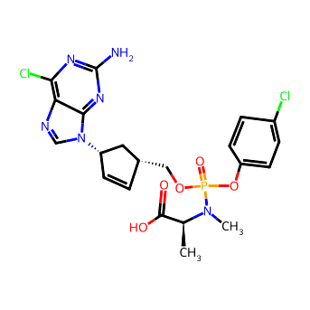 C[C@@H](C(=O)O)N(C)P(=O)(OC[C@@H]1C=C[C@H](n2cnc3c(Cl)nc(N)nc32)C1)Oc1ccc(Cl)cc1